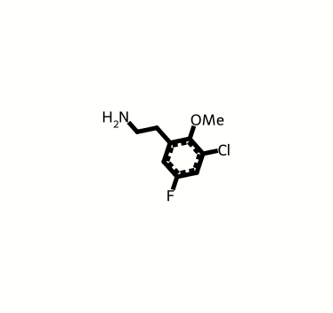 COc1c(Cl)cc(F)cc1CCN